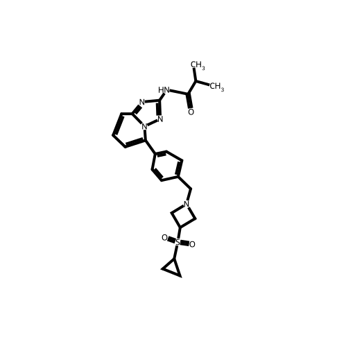 CC(C)C(=O)Nc1nc2cccc(-c3ccc(CN4CC(S(=O)(=O)C5CC5)C4)cc3)n2n1